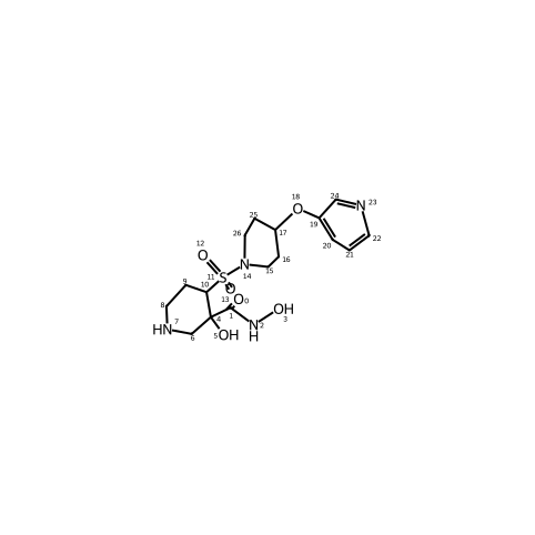 O=C(NO)C1(O)CNCCC1S(=O)(=O)N1CCC(Oc2cccnc2)CC1